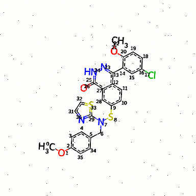 COc1ccc(CN(Sc2ccc3c(-c4cc(Cl)ccc4OC)n[nH]c(=O)c3c2)c2nccs2)cc1